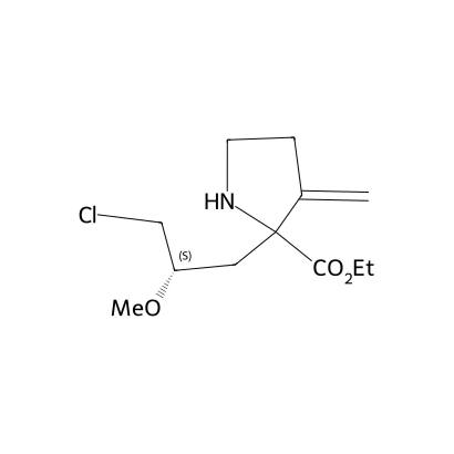 C=C1CCNC1(C[C@@H](CCl)OC)C(=O)OCC